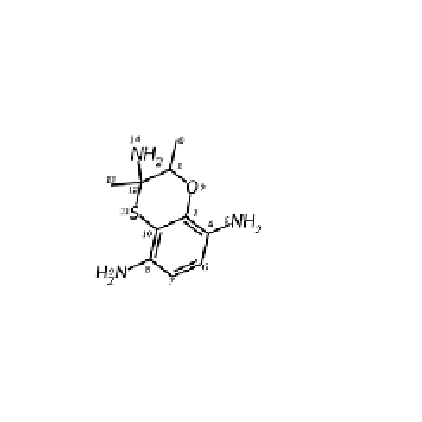 CC1Oc2c(N)ccc(N)c2SC1(C)N